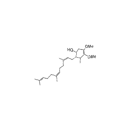 COC1=C(OC)C(C)C(CC=C(C)CCC=C(C)CCC=C(C)C)C(O)C1